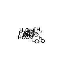 C[C@@H](NC(=O)[C@@H](NC(=O)[C@H](CCCc1ccc(-c2ccccc2F)cc1)CC(=O)O)C(C)(C)C)c1ccccc1